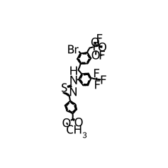 COC(=O)c1ccc(-c2csc(Nc3ccc(C(F)(F)F)cc3Cc3ccc(CP(=O)(OF)OF)c(Br)c3)n2)cc1